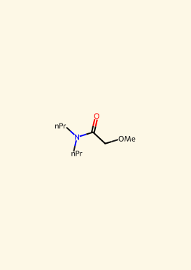 CCCN(CCC)C(=O)COC